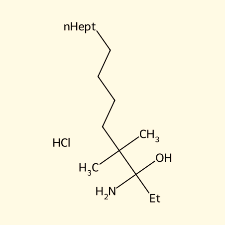 CCCCCCCCCCCC(C)(C)C(N)(O)CC.Cl